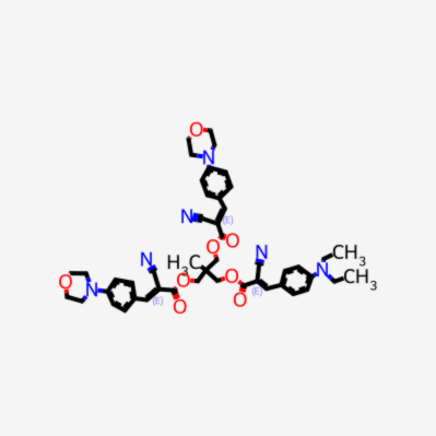 CCN(CC)c1ccc(/C=C(\C#N)C(=O)OCC(C)(COC(=O)/C(C#N)=C/c2ccc(N3CCOCC3)cc2)COC(=O)/C(C#N)=C/c2ccc(N3CCOCC3)cc2)cc1